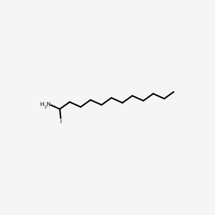 CCCCCCCCCCCC(N)I